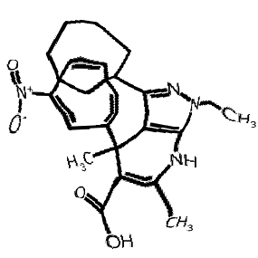 CC1=C(C(=O)O)C(C)(c2cccc([N+](=O)[O-])c2)c2c(C3CCCCCC3)nn(C)c2N1